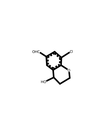 O=Cc1cc(Cl)c2c(c1)C(O)CCO2